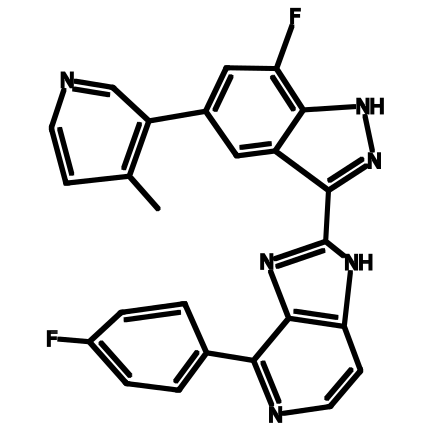 Cc1ccncc1-c1cc(F)c2[nH]nc(-c3nc4c(-c5ccc(F)cc5)nccc4[nH]3)c2c1